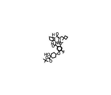 COc1cc(F)c(OC2CCC(O)(C(=O)OC(C)(C)C)CC2)cc1C(=O)N[C@@H]1[C@H]2CC[C@H](C2)[C@@H]1C(=O)NCC1(C)CCC1